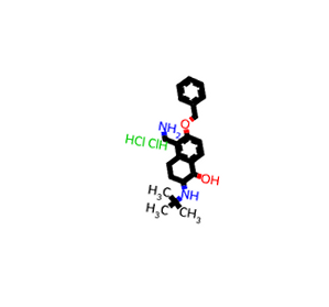 CC(C)(C)NC1CCc2c(ccc(OCc3ccccc3)c2CN)C1O.Cl.Cl